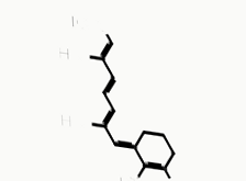 CC(=C/C=C/C(C)=C/C(=O)O)C=C1CCCC(C)=C1C(C)C